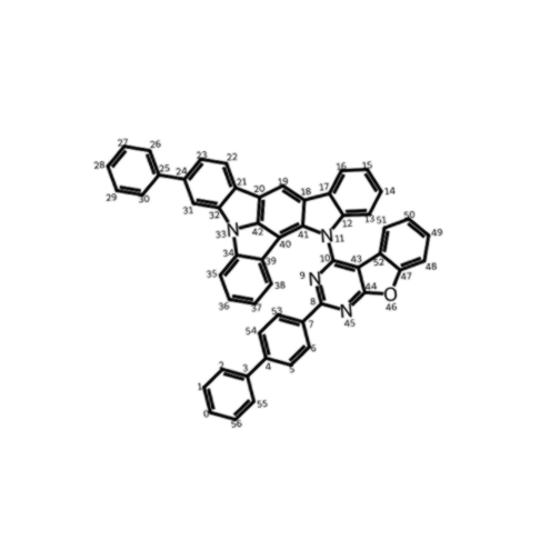 c1ccc(-c2ccc(-c3nc(-n4c5ccccc5c5cc6c7ccc(-c8ccccc8)cc7n7c8ccccc8c(c54)c67)c4c(n3)oc3ccccc34)cc2)cc1